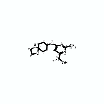 C[C@@H](O)c1cc(OC2CCC3(CC2)OCCO3)nc(C(F)(F)F)n1